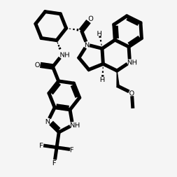 COC[C@@H]1Nc2ccccc2[C@H]2[C@@H]1CCN2C(=O)[C@H]1CCCC[C@H]1NC(=O)c1ccc2[nH]c(C(F)(F)F)nc2c1